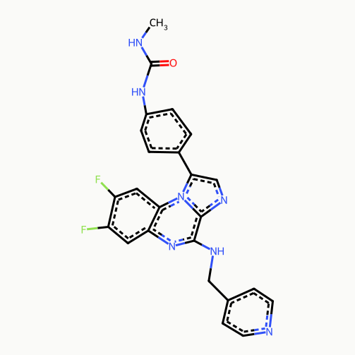 CNC(=O)Nc1ccc(-c2cnc3c(NCc4ccncc4)nc4cc(F)c(F)cc4n23)cc1